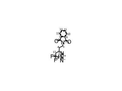 [N-]=[N+]=NC(CCN1C(=O)c2ccccc2C1=O)CC(F)(F)F